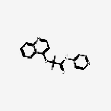 CC(C)(Sc1ccnc2ccccc12)C(=O)Nc1ccncc1